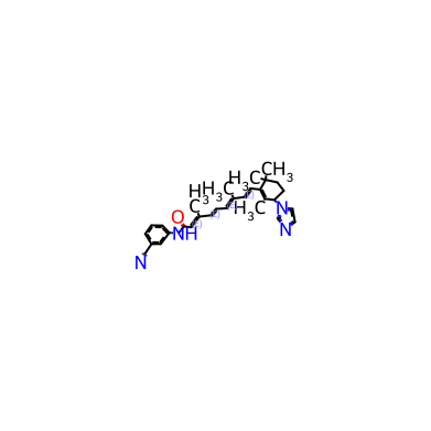 CC1=C(/C=C/C(C)=C/C=C/C(C)=C/C(=O)Nc2cccc(C#N)c2)C(C)(C)CCC1n1ccnc1